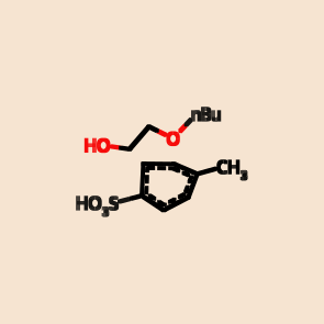 CCCCOCCO.Cc1ccc(S(=O)(=O)O)cc1